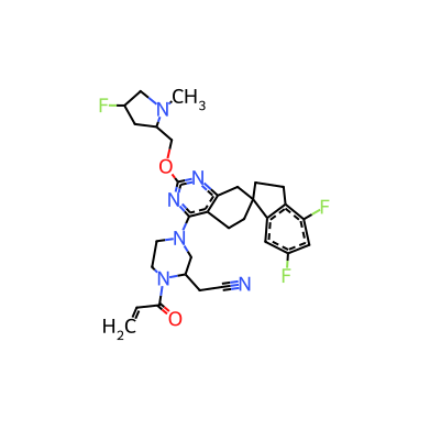 C=CC(=O)N1CCN(c2nc(OCC3CC(F)CN3C)nc3c2CCC2(CCc4c(F)cc(F)cc42)C3)CC1CC#N